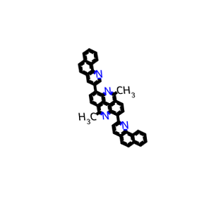 Cc1nc2c(-c3ccc4ccc5ccccc5c4n3)ccc3c(C)nc4c(-c5cnc6c(ccc7ccccc76)c5)ccc1c4c32